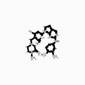 Cc1ccc(Nc2ncc3ccn(-c4cc(F)c(CN5CCN(C)C(=O)C5)c(F)c4)c3n2)cc1C